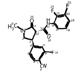 CN1C[C@H](c2ccc(C#N)c(F)c2)[C@@H](C(=O)Nc2cccc(F)c2F)C1=O